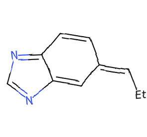 CCC=c1ccc2c(c1)N=CN=2